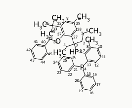 CCCC(CC)(Pc1c(C)cccc1P(c1ccccc1)c1ccccc1)c1cc(C)cc(C(C)(C)C)c1OCc1ccccc1